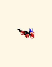 CCCCOc1ccc(C(C#N)CC(=O)OC)c(OC)c1